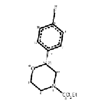 CCOC(=O)N1CCO[C@H](c2ccc(F)cc2)C1